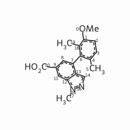 COc1ccc(C)c(-c2cc(C(=O)O)cc3c2cnn3C)c1C